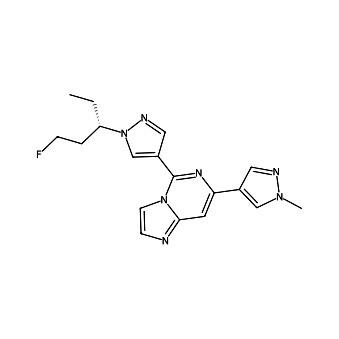 CC[C@@H](CCF)n1cc(-c2nc(-c3cnn(C)c3)cc3nccn23)cn1